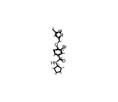 Cc1cc(COc2ccc(C(=O)NC3CCCC3)cc2Br)no1